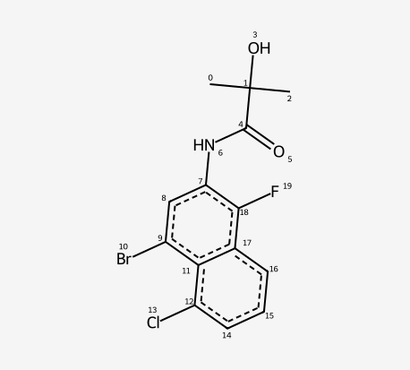 CC(C)(O)C(=O)Nc1cc(Br)c2c(Cl)cccc2c1F